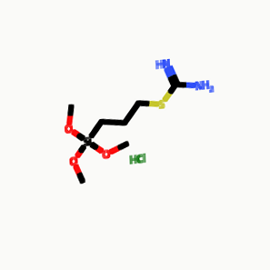 CO[Si](CCCSC(=N)N)(OC)OC.Cl